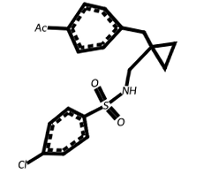 CC(=O)c1ccc(CC2(CNS(=O)(=O)c3ccc(Cl)cc3)CC2)cc1